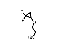 CC(C)(C)CCOC1CC1(F)F